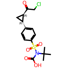 CC(C)(C)N(C(=O)O)S(=O)(=O)c1ccc([C@@H]2C[C@H]2C(=O)CCl)cc1